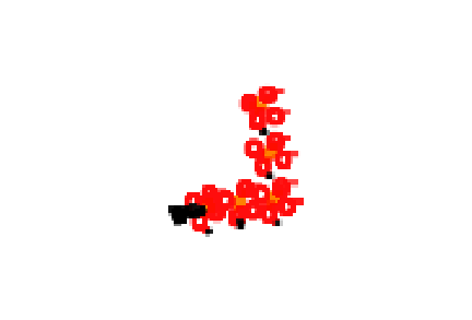 COP(=O)([O-])[O-].COP(=O)([O-])[O-].COP(=O)([O-])[O-].COP(=O)([O-])[O-].COP(=O)([O-])[O-].[V+5].[V+5]